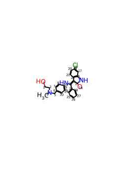 CN(CCO)Cc1ccc(NC(=C2C(=O)Nc3cc(Cl)ccc32)c2ccccc2)cc1